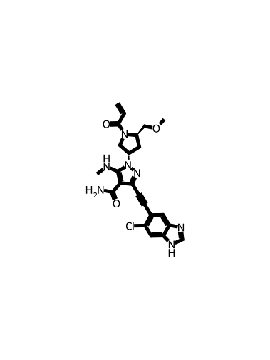 C=CC(=O)N1C[C@@H](n2nc(C#Cc3cc4nc[nH]c4cc3Cl)c(C(N)=O)c2NC)C[C@@H]1COC